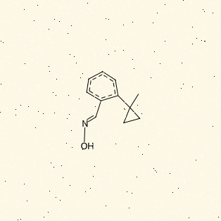 CC1(c2ccccc2C=NO)CC1